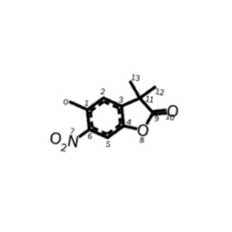 Cc1cc2c(cc1[N+](=O)[O-])OC(=O)C2(C)C